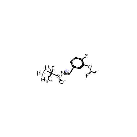 CC(C)(C)[S+]([O-])/N=C/c1ccc(F)c(OC(F)F)c1